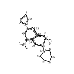 CN(C)c1nc(-n2cccn2)nc2cc(Cl)c(N3CCCCC3)cc12